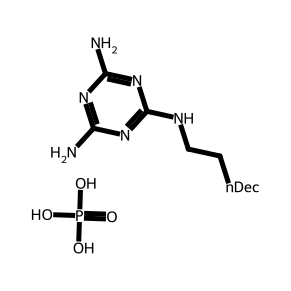 CCCCCCCCCCCCNc1nc(N)nc(N)n1.O=P(O)(O)O